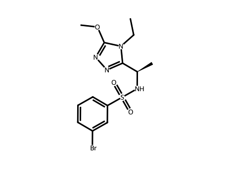 CCn1c(OC)nnc1[C@@H](C)NS(=O)(=O)c1cccc(Br)c1